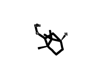 CCCCOC1C[C@H]2CC[C@@]1(C)C2(C)C